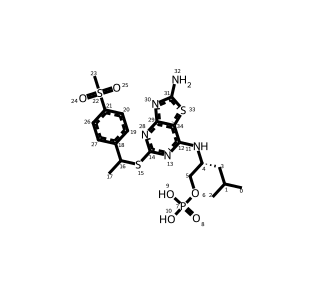 CC(C)C[C@H](COP(=O)(O)O)Nc1nc(SC(C)c2ccc(S(C)(=O)=O)cc2)nc2nc(N)sc12